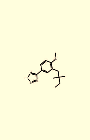 CCC(C)(C)Cc1cc(-c2nn[nH]n2)ccc1OC